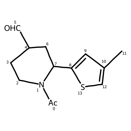 CC(=O)N1CCC(C=O)CC1c1cc(C)cs1